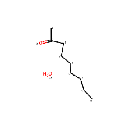 CCCCCCCC(C)=O.O